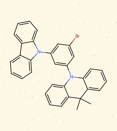 CC1(C)c2ccccc2N(c2cc(Br)cc(-n3c4ccccc4c4ccccc43)c2)c2ccccc21